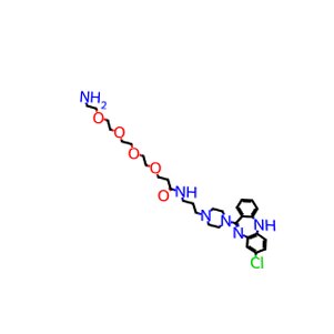 NCCOCCOCCOCCOCCC(=O)NCCCN1CCN(C2=Nc3cc(Cl)ccc3Nc3ccccc32)CC1